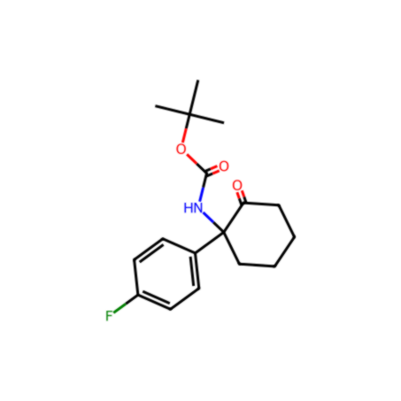 CC(C)(C)OC(=O)NC1(c2ccc(F)cc2)CCCCC1=O